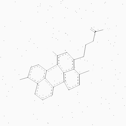 COC(=O)CCCc1cc(C(F)(F)F)c2c3ccc(C(F)(F)F)c4cccc(c5ccc(C(F)(F)F)c1c52)c43